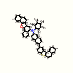 [2H]c1c([2H])c([2H])c(N(c2ccc3cc(-c4ccc5sc6ccc7ccccc7c6c5c4)ccc3c2)c2cc3c4ccc5ccccc5c4oc3c3ccccc23)c([2H])c1[2H]